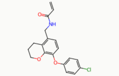 C=CC(=O)NCc1ccc(Oc2ccc(Cl)cc2)c2c1CCCO2